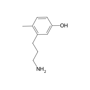 Cc1ccc(O)cc1CCCN